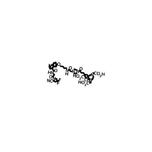 CN(CC(=O)O)C1(CCCCC(=O)N2CCN(CC(=O)NCCCCOc3ccc4nccc(C(=O)NCC(=O)N5CC(F)(F)CC5C#N)c4c3)CC2)CN(CC(=O)O)CCN(CC(=O)O)C1